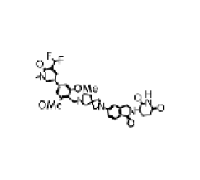 COc1cc(-c2cc(C(F)F)c(=O)n(C)c2)cc(OC)c1CN1CCC2(C1)CN(c1ccc3c(c1)CN(C1CCC(=O)NC1=O)C3=O)C2